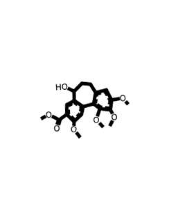 COC(=O)c1cc2c(cc1OC)-c1c(cc(OC)c(OC)c1OC)CCC2O